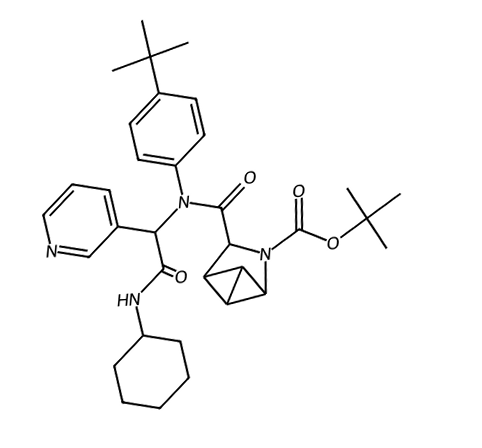 CC(C)(C)OC(=O)N1C(C(=O)N(c2ccc(C(C)(C)C)cc2)C(C(=O)NC2CCCCC2)c2cccnc2)C2C3C2C31